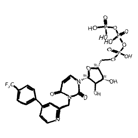 O=c1ccn([C@@H]2O[C@H](COP(=O)(O)OP(=O)(O)OP(=O)(O)O)[C@H](O)C2O)c(=O)n1Cc1cc(-c2ccc(C(F)(F)F)cc2)ccn1